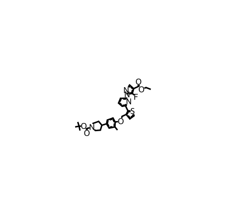 CCOC(=O)c1cnn(-c2cccc(-c3sccc3COc3ccc(C4CCN(C(=O)OC(C)(C)C)CC4)cc3C)n2)c1F